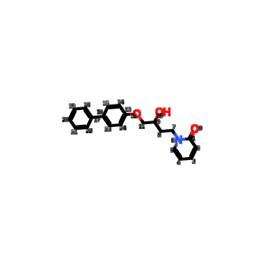 O=c1ccccn1CCC(O)COc1ccc(-c2ccccc2)cc1